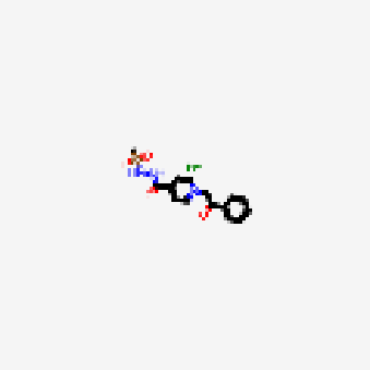 CS(=O)(=O)NNC(=O)c1cc[n+](CC(=O)c2ccccc2)cc1.[Br-]